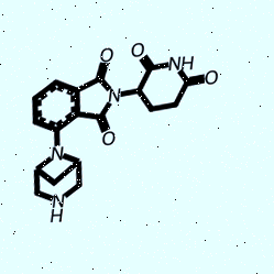 O=C1CCC(N2C(=O)c3cccc(N4C5CNCC4C5)c3C2=O)C(=O)N1